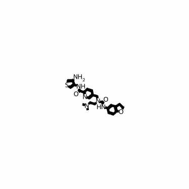 CN(C)CCN(Cc1ccc(C(=O)Nc2cscc2N)nc1)C(=O)Nc1ccc2c(c1)CCO2